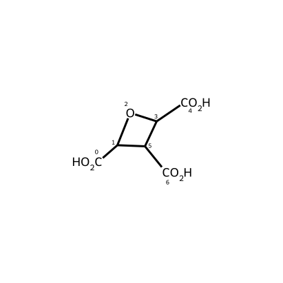 O=C(O)C1OC(C(=O)O)C1C(=O)O